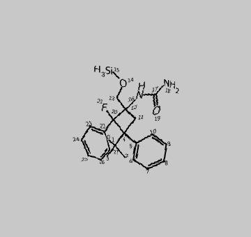 CC(C)(C)C1(c2ccccc2)CC(CO[SiH3])(NC(N)=O)C1(F)c1ccccc1